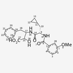 COc1cccc(C(=O)N[C@@H](CC2CC2)C(=O)NC(Cc2ccccc2)C(O)C(=O)O)c1